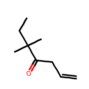 C=CCC(=O)C(C)(C)CC